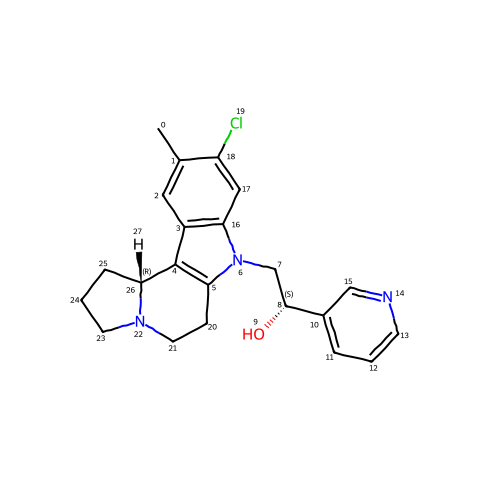 Cc1cc2c3c(n(C[C@@H](O)c4cccnc4)c2cc1Cl)CCN1CCC[C@H]31